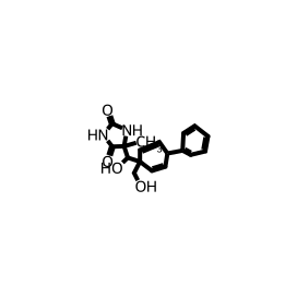 CC1(C(O)C2(CO)C=CC(c3ccccc3)C=C2)NC(=O)NC1=O